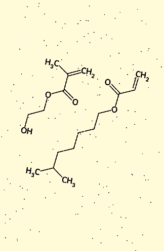 C=C(C)C(=O)OCCO.C=CC(=O)OCCCCCC(C)C